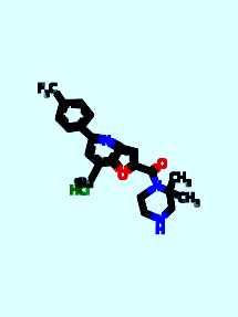 CC(C)(C)c1cc(-c2ccc(C(F)(F)F)cc2)nc2cc(C(=O)N3CCNCC3(C)C)oc12.Cl